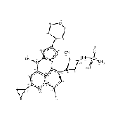 CCN(c1nc(C2CCOCC2)c(C#N)s1)c1cc(C2CC2)nc2c(F)cc(N3CC(NS(C)(=O)=O)C3)cc12